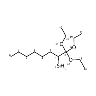 CCCCCCC([SiH3])C(OCC)(OCC)OCC